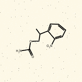 CC(COC(N)=O)c1ccccc1[N+](=O)[O-]